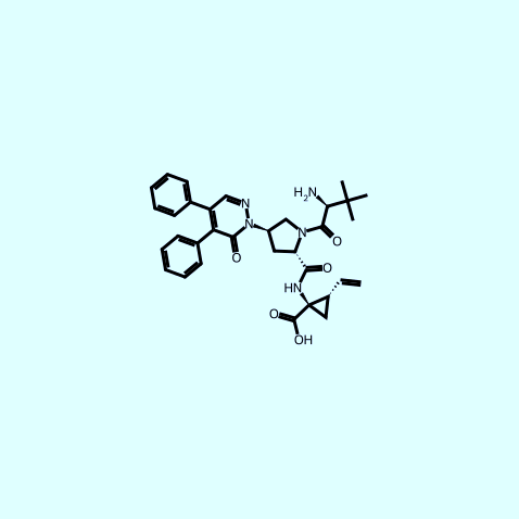 C=C[C@@H]1C[C@]1(NC(=O)[C@@H]1C[C@@H](n2ncc(-c3ccccc3)c(-c3ccccc3)c2=O)CN1C(=O)[C@@H](N)C(C)(C)C)C(=O)O